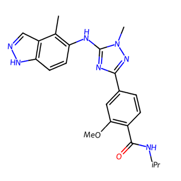 COc1cc(-c2nc(Nc3ccc4[nH]ncc4c3C)n(C)n2)ccc1C(=O)NC(C)C